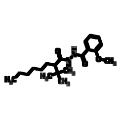 CCCCCCC(C(=O)NNC(=O)c1ccccc1OC)C(C)(C)C